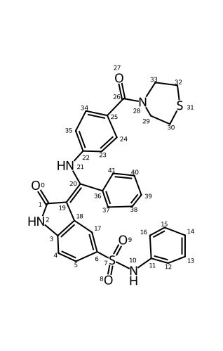 O=C1Nc2ccc(S(=O)(=O)Nc3ccccc3)cc2/C1=C(/Nc1ccc(C(=O)N2CCSCC2)cc1)c1ccccc1